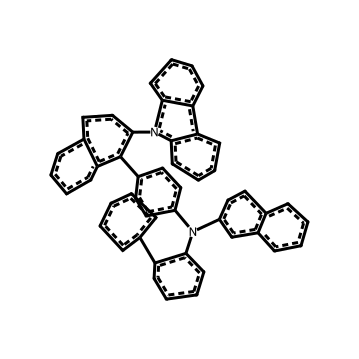 c1ccc(-c2ccccc2N(c2ccc(-c3c(-n4c5ccccc5c5ccccc54)ccc4ccccc34)cc2)c2ccc3ccccc3c2)cc1